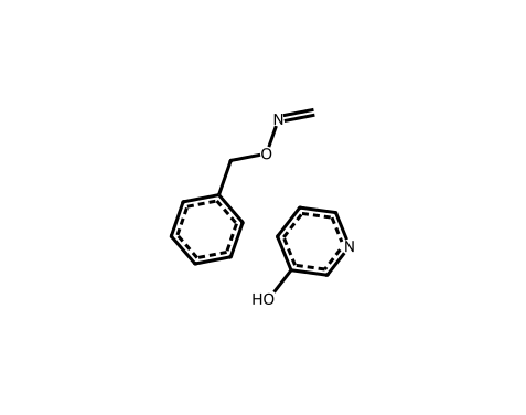 C=NOCc1ccccc1.Oc1cccnc1